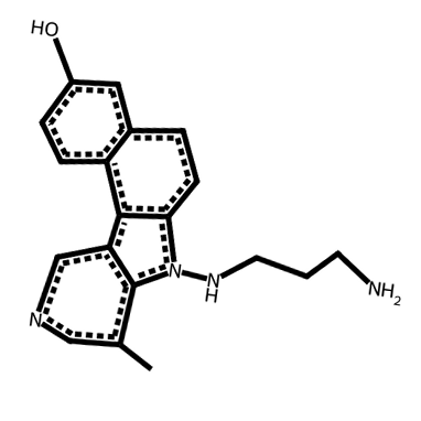 Cc1cncc2c3c4ccc(O)cc4ccc3n(NCCCN)c12